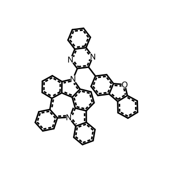 c1ccc2nc(-n3c4cccc5c6ccccc6n6c7ccccc7c7ccc3c(c54)c76)c(-c3ccc4c(c3)oc3ccccc34)nc2c1